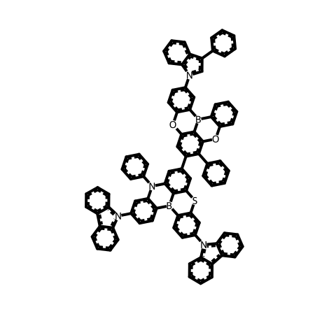 c1ccc(-c2c(-c3cc4c5c(c3)N(c3ccccc3)c3cc(-n6c7ccccc7c7ccccc76)ccc3B5c3ccc(-n5c6ccccc6c6ccccc65)cc3S4)cc3c4c2Oc2ccccc2B4c2cc(-n4cc(-c5ccccc5)c5ccccc54)ccc2O3)cc1